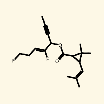 CC#CC(OC(=O)C1C(C=C(C)C)C1(C)C)C(F)=CCCF